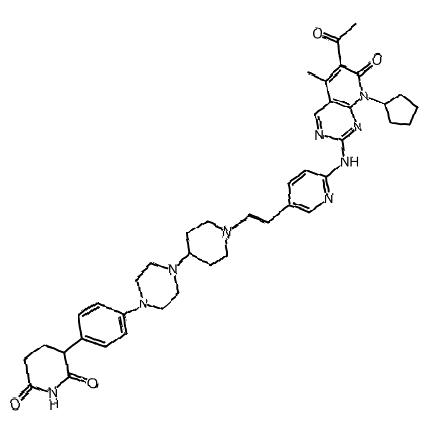 CC(=O)c1c(C)c2cnc(Nc3ccc(CCN4CCC(N5CCN(c6ccc(C7CCC(=O)NC7=O)cc6)CC5)CC4)cn3)nc2n(C2CCCC2)c1=O